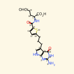 Nc1nc2[nH]cc(CCCc3ccc(C(=O)N[C@@H](CCC=O)C(=O)O)s3)c2c(=O)[nH]1